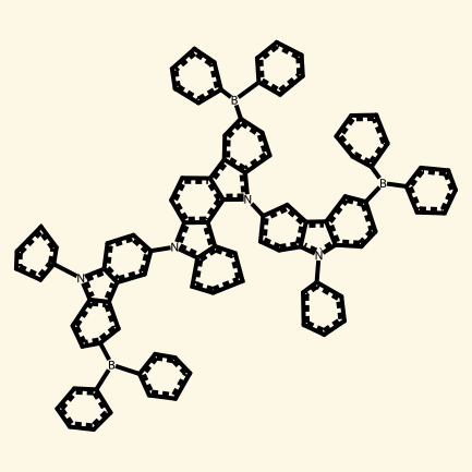 c1ccc(B(c2ccccc2)c2ccc3c(c2)c2cc(-n4c5ccccc5c5c4ccc4c6cc(B(c7ccccc7)c7ccccc7)ccc6n(-c6ccc7c(c6)c6cc(B(c8ccccc8)c8ccccc8)ccc6n7-c6ccccc6)c45)ccc2n3-c2ccccc2)cc1